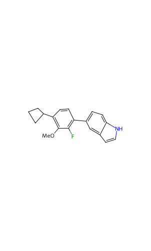 COc1c(C2CCC2)ccc(-c2ccc3[nH]ccc3c2)c1F